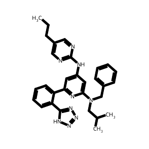 CCCc1cnc(Nc2cc(-c3ccccc3-c3nnn[nH]3)nc(N(Cc3ccccc3)CC(C)C)c2)nc1